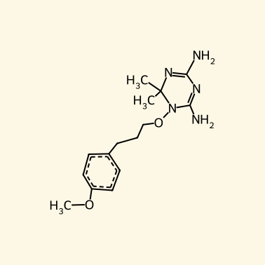 COc1ccc(CCCON2C(N)=NC(N)=NC2(C)C)cc1